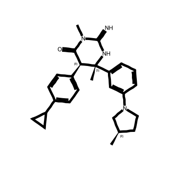 C[C@@H]1CCN(c2cccc([C@@]3(C)NC(=N)N(C)C(=O)[C@@H]3c3ccc(C4CC4)cc3)c2)C1